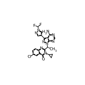 C[C@@H](c1nc2ccc(Cl)cc2c(=O)n1C1CC1)n1nc(-c2cnn(C(F)F)c2)c2c(N)ncnc21